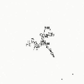 C#CCOCCOCCOCCNc1nc(N2CCN(C(=O)[C@H]([C@@H](C)CC)n3cc([C@@H](N)CC(C)C)nn3)CC2)nc(N2CCN(C(=O)[C@H](CCCCN)n3cc([C@@H](N)CC(C)C)nn3)CC2)n1.Cl